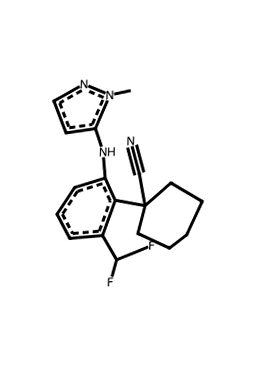 Cn1nccc1Nc1cccc(C(F)F)c1C1(C#N)CCCCC1